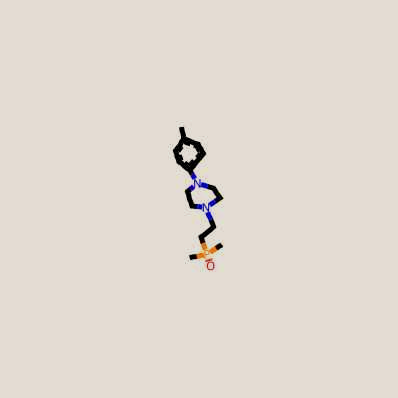 Cc1ccc(N2CCN(CCP(C)(C)=O)CC2)cc1